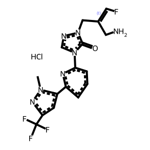 Cl.Cn1nc(C(F)(F)F)cc1-c1cccc(-n2cnn(C/C(=C/F)CN)c2=O)n1